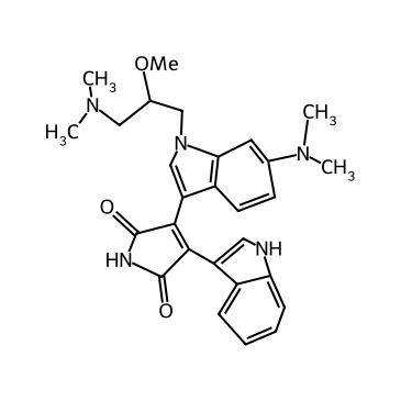 COC(CN(C)C)Cn1cc(C2=C(c3c[nH]c4ccccc34)C(=O)NC2=O)c2ccc(N(C)C)cc21